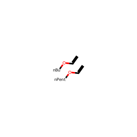 C=COCCCC.C=COCCCCC